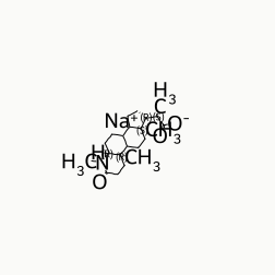 C[C@H](C(=O)[O-])[C@H]1CCC2C3CC[C@H]4N(C)C(=O)CC[C@]4(C)C3CC[C@@]21C.[Na+]